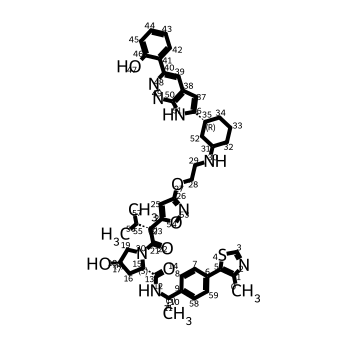 Cc1ncsc1-c1ccc([C@H](C)NC(=O)[C@@H]2C[C@@H](O)CN2C(=O)[C@@H](c2cc(OCCNC3CCC[C@@H](c4cc5cc(-c6ccccc6O)nnc5[nH]4)C3)no2)C(C)C)cc1